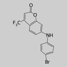 O=c1cc(C(F)(F)F)c2ccc(Nc3ccc(Br)cc3)cc2o1